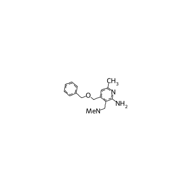 CNCc1c(COCc2ccccc2)cc(C)nc1N